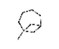 CC12CCCCC(C1)C2